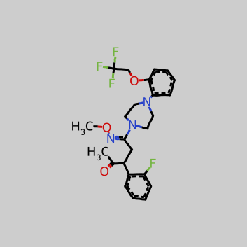 CO/N=C(/CC(C(C)=O)c1ccccc1F)N1CCN(c2ccccc2OCC(F)(F)F)CC1